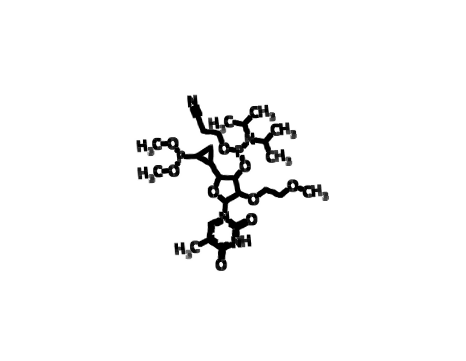 COCCOC1C(OP(OCCC#N)N(C(C)C)C(C)C)C(C2CC2P(OC)OC)OC1n1cc(C)c(=O)[nH]c1=O